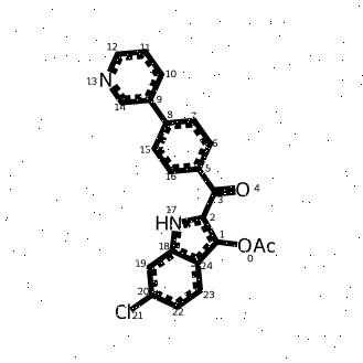 CC(=O)Oc1c(C(=O)c2ccc(-c3cccnc3)cc2)[nH]c2cc(Cl)ccc12